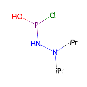 CC(C)N(NP(O)Cl)C(C)C